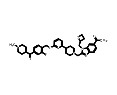 COC(=O)c1ccc2nc(CN3CCC(c4cccc(OCc5ccc(C(=O)C6CCN(C)CC6)cc5F)n4)CC3)n(CC3CCO3)c2c1